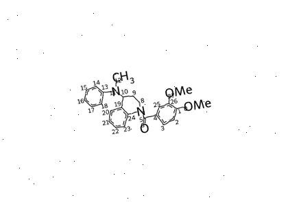 COc1ccc(C(=O)N2CCC(N(C)c3ccccc3)c3ccccc32)cc1OC